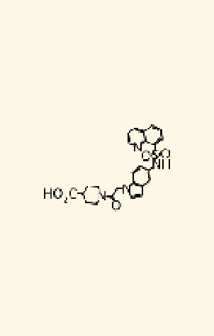 O=C(O)C1CCN(C(=O)Cn2ccc3cc(NS(=O)(=O)c4cccc5cccnc45)ccc32)CC1